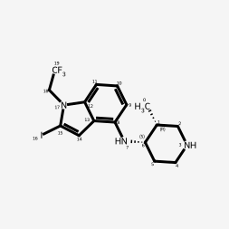 C[C@@H]1CNCC[C@@H]1Nc1cccc2c1cc(I)n2CC(F)(F)F